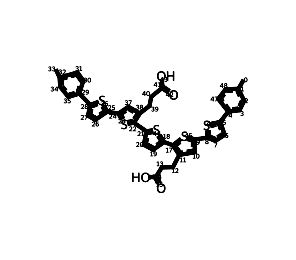 Cc1ccc(-c2ccc(-c3cc(CCC(=O)O)c(-c4ccc(-c5sc(-c6ccc(-c7ccc(C)cc7)s6)cc5CCC(=O)O)s4)s3)s2)cc1